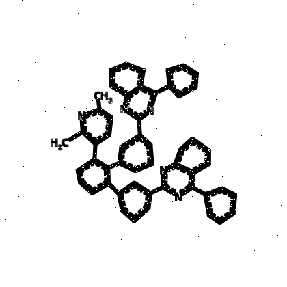 Cc1ccc(-c2cccc(-c3cccc(-c4nc(-c5ccccc5)c5ccccc5n4)c3)c2-c2cccc(-c3nc(-c4ccccc4)c4ccccc4n3)c2)c(C)n1